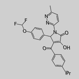 Cc1ccc(N2C(=O)C(O)=C(C(=O)c3ccc(C(C)C)cc3)C2c2ccc(OC(F)F)cc2)nn1